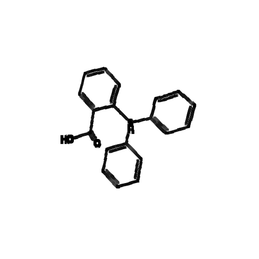 O=C(O)c1ccccc1[SH](c1ccccc1)c1ccccc1